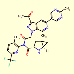 CC(=O)c1nn(CC(=O)N(C(=O)[C@@H]2C[C@@]3(C)C[C@H]3N2)c2nc(C(F)(F)F)ccc2C)c2cnc(-c3cnc(C)nc3)cc12